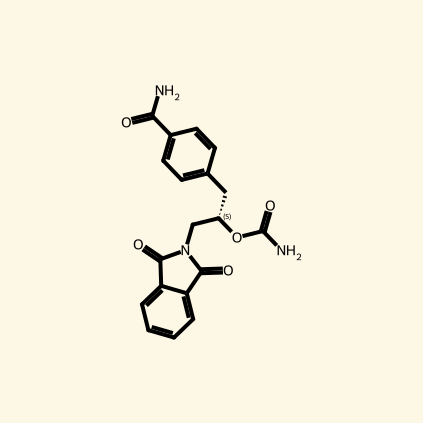 NC(=O)O[C@@H](Cc1ccc(C(N)=O)cc1)CN1C(=O)c2ccccc2C1=O